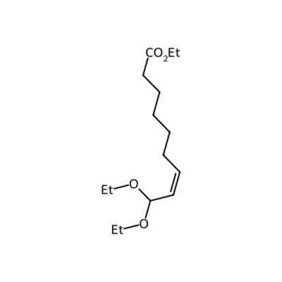 CCOC(=O)CCCCC/C=C\C(OCC)OCC